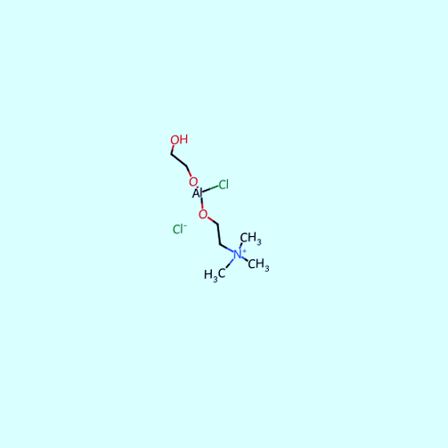 C[N+](C)(C)CC[O][Al]([Cl])[O]CCO.[Cl-]